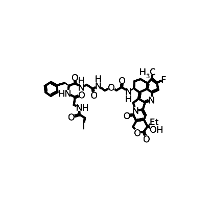 CC[C@@]1(O)C(=O)OCc2c1cc1n(c2=O)Cc2c-1nc1cc(F)c(C)c3c1c2[C@@H](NC(=O)COCNC(=O)CNC(=O)[C@H](Cc1ccccc1)NC(=O)CNC(=O)CI)CC3